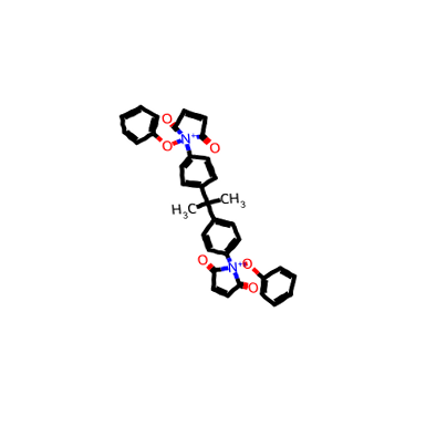 CC(C)(c1ccc([N+]2(Oc3ccccc3)C(=O)C=CC2=O)cc1)c1ccc([N+]2(Oc3ccccc3)C(=O)C=CC2=O)cc1